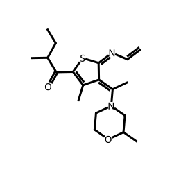 C=C/N=C1/SC(C(=O)C(C)CC)=C(C)/C1=C(/C)N1CCOC(C)C1